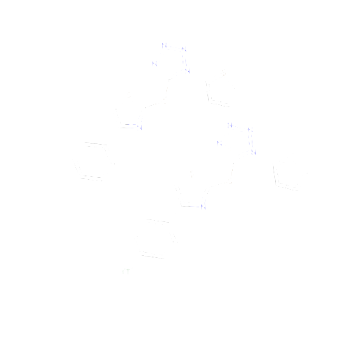 Clc1ccc(-c2csc(Sc3nnnn3-c3cccs3)n2)cc1.c1ccc(-c2csc(Sc3nnnn3-c3cccs3)n2)cc1